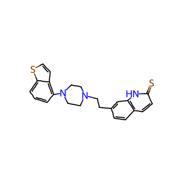 S=c1ccc2ccc(CCN3CCN(c4cccc5sccc45)CC3)cc2[nH]1